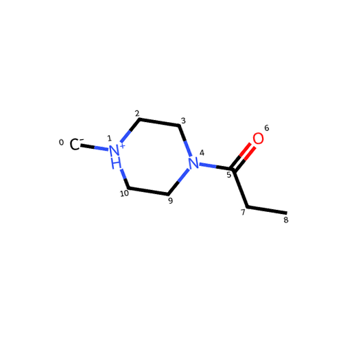 [CH2-][NH+]1CCN(C(=O)CC)CC1